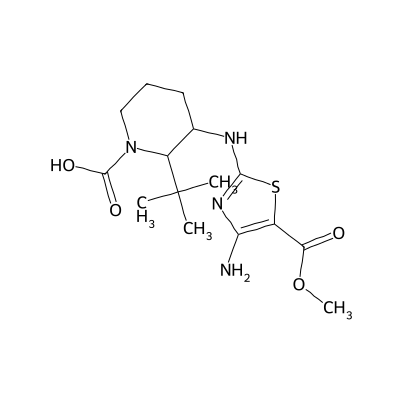 COC(=O)c1sc(NC2CCCN(C(=O)O)C2C(C)(C)C)nc1N